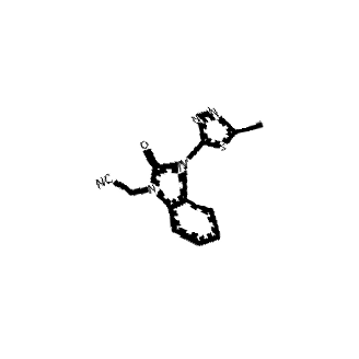 Cc1nnc(-n2c(=O)n(CC#N)c3ccccc32)s1